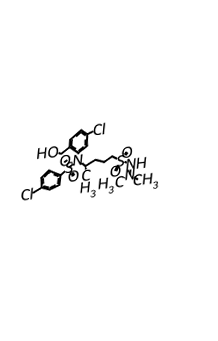 C[C@H](CCCS(=O)(=O)NN(C)C)N(c1cc(Cl)ccc1CO)S(=O)(=O)c1ccc(Cl)cc1